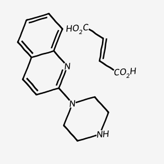 O=C(O)C=CC(=O)O.c1ccc2nc(N3CCNCC3)ccc2c1